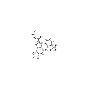 CC(C)(C)OC(=O)N1CC[C@H](N(Cc2ccccc2C(F)(F)F)CC2CCOC2)C1